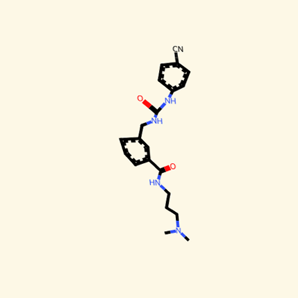 CN(C)CCCNC(=O)c1cccc(CNC(=O)Nc2ccc(C#N)cc2)c1